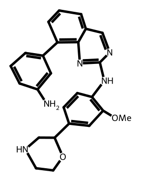 COc1cc(C2CNCCO2)ccc1Nc1ncc2cccc(-c3cccc(N)c3)c2n1